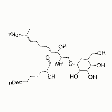 CCCCCCCCCCCCCCC(O)C(=O)NC(CO[C@@H]1CC(CO)[C@@H](O)C(O)C1O)C(O)/C=C/CC/C=C(\C)CCCCCCCCC